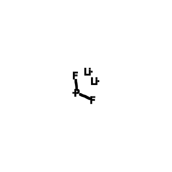 F[P]F.[Li].[Li]